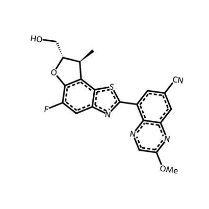 COc1cnc2c(-c3nc4cc(F)c5c(c4s3)[C@H](C)[C@@H](CO)O5)cc(C#N)cc2n1